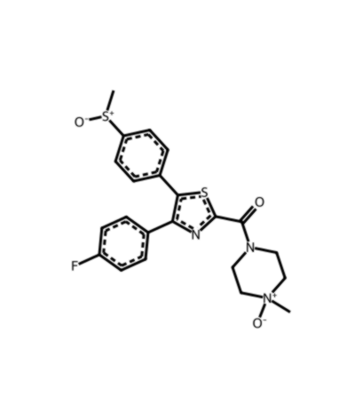 C[S+]([O-])c1ccc(-c2sc(C(=O)N3CC[N+](C)([O-])CC3)nc2-c2ccc(F)cc2)cc1